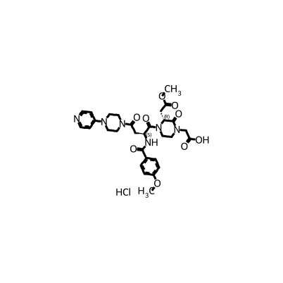 COC(=O)C[C@@H]1C(=O)N(CC(=O)O)CCN1C(=O)[C@H](CC(=O)N1CCN(c2ccncc2)CC1)NC(=O)c1ccc(OC)cc1.Cl